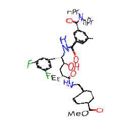 CCCN(CCC)C(=O)c1cc(C)cc(C(=O)N[C@@H](Cc2cc(F)cc(F)c2)[C@@H](O)C[C@@H](CC)C(=O)NCC2CCC(C(=O)OC)CC2)c1